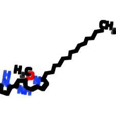 CCCCCCCCCCCCCCCC1=NC(=Cc2[nH]c(-c3ccc[nH]3)cc2OC)C=C1